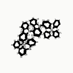 c1ccc([Si](c2ccccc2)(c2ccccc2)c2cccc(-n3c4ccccc4c4c(-n5c6ccccc6c6ccc([Si]7(c8ccccc8)c8ccccc8Sc8ccccc87)cc65)cccc43)c2)cc1